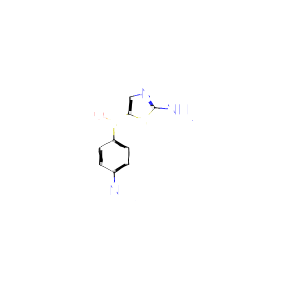 Nc1ccc([S+]([O-])c2cnc(N)s2)cc1